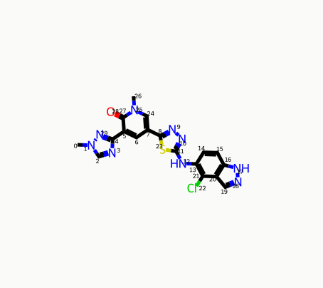 Cn1cnc(-c2cc(-c3nnc(Nc4ccc5[nH]ncc5c4Cl)s3)cn(C)c2=O)n1